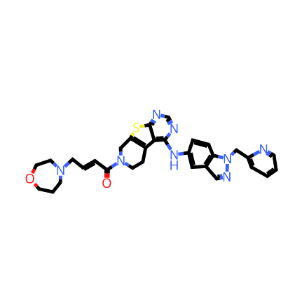 O=C(C=CCN1CCCOCC1)N1CCc2c(sc3ncnc(Nc4ccc5c(cnn5Cc5ccccn5)c4)c23)C1